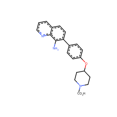 Nc1c(-c2ccc(OC3CCN(C(=O)O)CC3)cc2)ccc2cccnc12